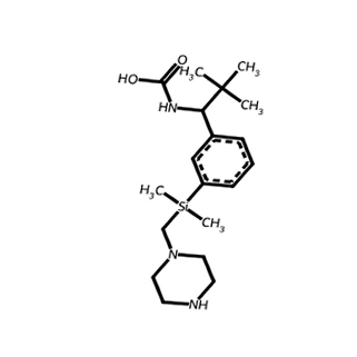 CC(C)(C)C(NC(=O)O)c1cccc([Si](C)(C)CN2CCNCC2)c1